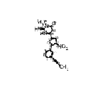 CC#Cc1cncc(-c2sc([C@@H]3CC(=O)N(C)C(=N)N3)cc2[N+](=O)[O-])c1